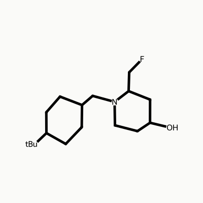 CC(C)(C)C1CCC(CN2CCC(O)CC2CF)CC1